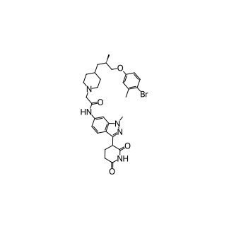 Cc1cc(OC[C@H](C)CC2CCN(CC(=O)Nc3ccc4c(C5CCC(=O)NC5=O)nn(C)c4c3)CC2)ccc1Br